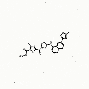 CCCOC(=O)c1sc(C(=O)N2CCC(Nc3nccc4ccc(-c5noc(C)n5)cc34)C2)nc1C